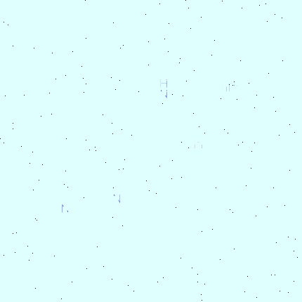 CCCC(=O)Nc1ccc2cncnc2c1